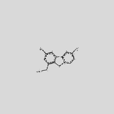 COCc1cc(C(C)C)cc2c1Cc1ccc(C(C)C)cc1-2